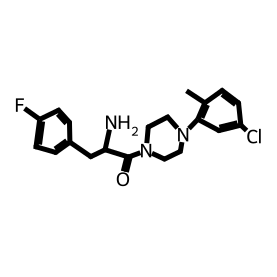 Cc1ccc(Cl)cc1N1CCN(C(=O)C(N)Cc2ccc(F)cc2)CC1